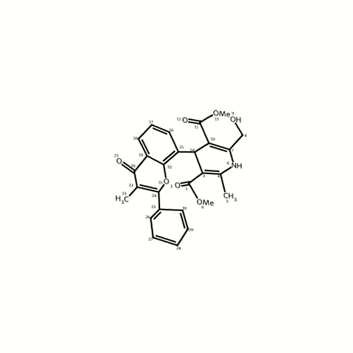 COC(=O)C1=C(C)NC(CO)=C(C(=O)OC)C1c1cccc2c(=O)c(C)c(-c3ccccc3)oc12